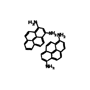 Nc1cc(N)c2ccc3cccc4ccc1c2c43.Nc1ccc2ccc3c(N)ccc4ccc1c2c43